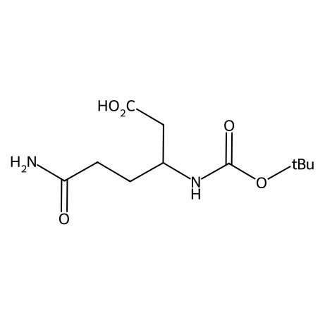 CC(C)(C)OC(=O)NC(CCC(N)=O)CC(=O)O